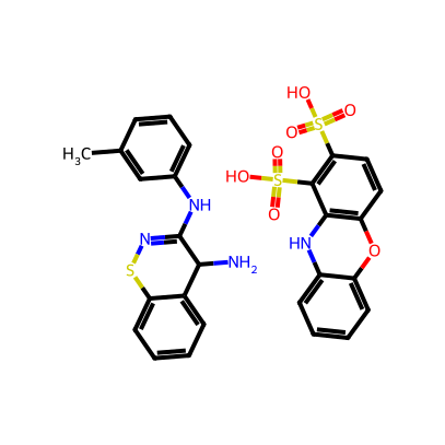 Cc1cccc(NC2=NSc3ccccc3C2N)c1.O=S(=O)(O)c1ccc2c(c1S(=O)(=O)O)Nc1ccccc1O2